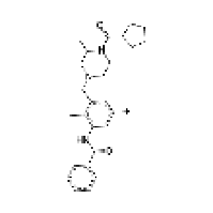 Cc1c(CN2CCN(C(=O)C3CCCC3)C(C)C2)cc(F)cc1NC(=O)c1ccccc1